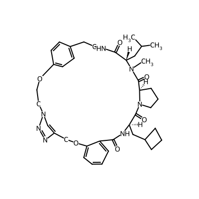 CC(C)C[C@H]1C(=O)NCCc2ccc(cc2)OCCn2cc(nn2)COc2ccccc2C(=O)N[C@H](CC2CCC2)C(=O)N2CCC[C@@H]2C(=O)N1C